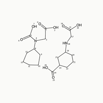 O=C(O)CN(C(=O)O)C1CCCCC1.O=C(O)CNC1CCCC(C(=O)O)C1